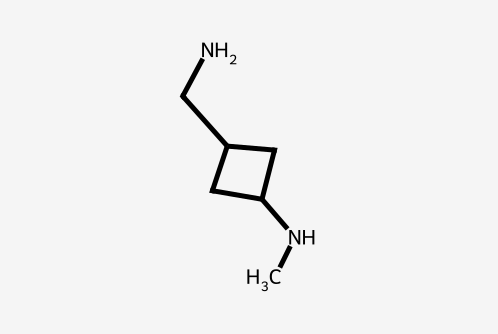 CNC1CC(CN)C1